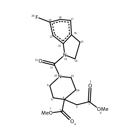 COC(=O)CC1(C(=O)OC)CCN(C(=O)N2CCc3ccc(F)cc32)CC1